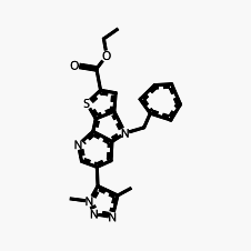 CCOC(=O)c1cc2c(s1)c1ncc(-c3c(C)nnn3C)cc1n2Cc1ccccc1